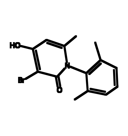 Cc1cccc(C)c1-n1c(C)cc(O)c(Br)c1=O